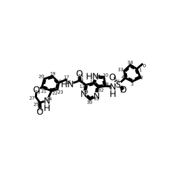 Cc1ccc(S(=O)(=O)Nc2c[nH]c3c(C(=O)NCc4ccc5c(c4)NC(=O)CO5)ncnc23)cc1